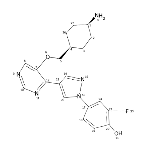 N[C@H]1CC[C@@H](COc2cncnc2-c2cnn(-c3ccc(O)c(F)c3)c2)CC1